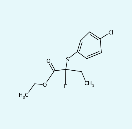 CCOC(=O)C(F)(CC)Sc1ccc(Cl)cc1